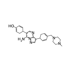 CN1CCN(CC2=CCC(c3cnn4c(N)c(C5C=CC(O)=CC5)cnc34)C=C2)CC1